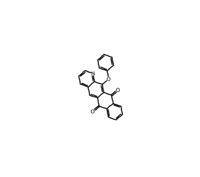 O=C1c2ccccc2C(=O)c2c1cc1cccnc1c2Oc1ccccc1